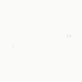 Brc1cs[c]c1-c1[c]scc1Br